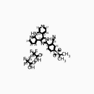 CC(C)S(=O)(=O)c1ccc(-c2nc3c([nH]2)-c2ccncc2Nc2ncccc2-3)c(C#N)c1.O=C(O)C(F)(F)F.O=C(O)C(F)(F)F